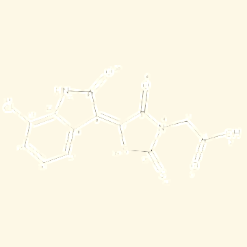 O=C(O)CN1C(=O)C(=C2C(=O)Nc3c(Cl)cccc32)SC1=S